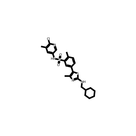 Cc1ccc(-c2sc(NCC3CCCCC3)nc2C)cc1S(=O)(=O)Nc1cnc(Cl)c(C)c1